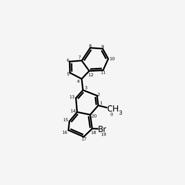 Cc1cc(C2C=Cc3ccccc32)cc2cccc(Br)c12